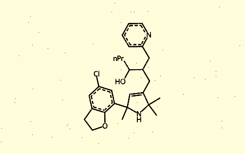 CCCC(O)C(CC1=CC(C)(c2cc(Cl)cc3c2OCC3)NC1(C)C)Cc1ccccn1